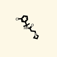 CC(C)(NC(=O)CCN1CCC1)c1cccc(Cl)c1